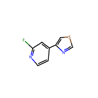 Fc1cc(-c2cs[c]n2)ccn1